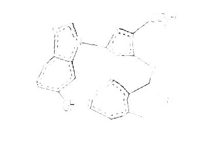 C[C@@H](Oc1cc(-n2cnc3ccc(O)cc32)sc1C(=O)O)c1ccccc1C(F)(F)F